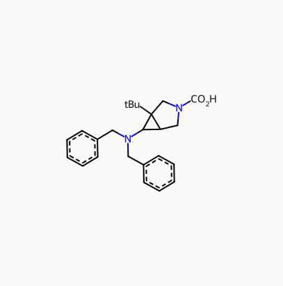 CC(C)(C)C12CN(C(=O)O)CC1C2N(Cc1ccccc1)Cc1ccccc1